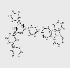 C1=CC2=CC(C=C1)C1=C(CCC(c3ccc(C4=NC(c5ccccc5)NC(c5cccc(C6C=CCCC6)c5)=N4)cc3)N=C1)C1=C2C=CCC1